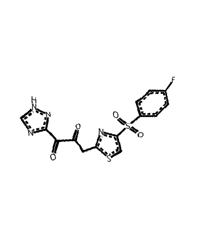 O=C(Cc1nc(S(=O)(=O)c2ccc(F)cc2)cs1)C(=O)c1nc[nH]n1